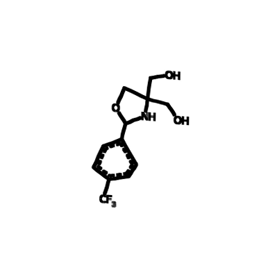 OCC1(CO)COC(c2ccc(C(F)(F)F)cc2)N1